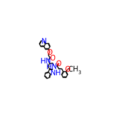 COc1ccccc1CCC(=O)NCC(Cc1c[nH]c2ccccc12)NC(=O)COc1ccc2ncccc2c1